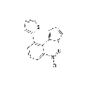 O=[N+]([O-])c1cccc(-c2cccs2)c1-c1cccs1